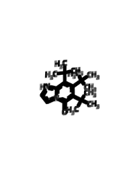 CC(C)(C)c1c(C(C)(C)C)c(=O)n2cc[nH]c2c1C(C)(C)C